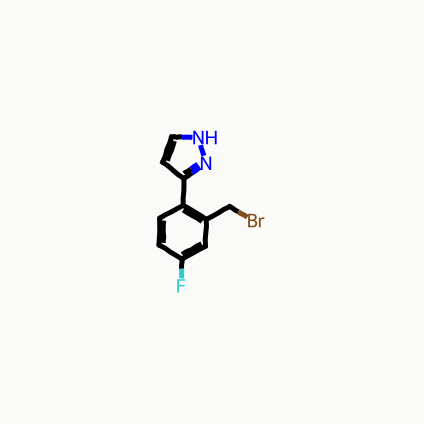 Fc1ccc(-c2cc[nH]n2)c(CBr)c1